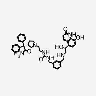 NC(=O)C(c1ccccc1)(c1ccccc1)[C@@H]1CCN(CCNC(=O)NCc2cccc(CNC[C@@H](O)c3ccc(O)c4[nH]c(=O)ccc34)c2)C1